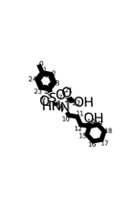 Cc1ccc(S(=O)(=O)NN(CCCC2(O)CCCCC2)C(=O)O)cc1